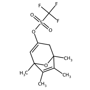 CC1=C(C)C2(C)CC(OS(=O)(=O)C(F)(F)F)=CC1(C)O2